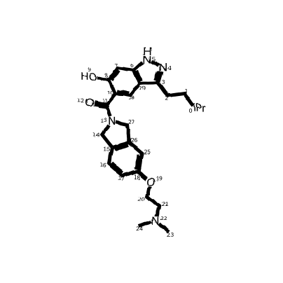 CC(C)CCc1n[nH]c2cc(O)c(C(=O)N3Cc4ccc(OCCN(C)C)cc4C3)cc12